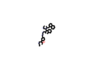 C=C/C=C\c1c(C)oc2ccc(/C=C/C=C\C(=C)C(C(/C=C\C)=C(/C)Cc3cccc4ccccc34)=c3ccccc3=C)cc12